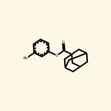 CCC(C)c1cccc(OC(=O)C23CC4CC(CC(C4)C2)C3)c1